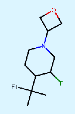 CCC(C)(C)C1CCN(C2COC2)CC1F